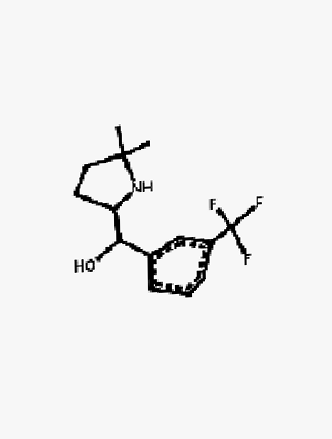 CC1(C)CCC(C(O)c2cccc(C(F)(F)F)c2)N1